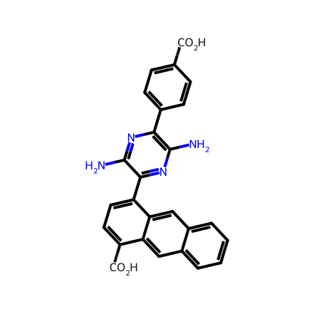 Nc1nc(-c2ccc(C(=O)O)c3cc4ccccc4cc23)c(N)nc1-c1ccc(C(=O)O)cc1